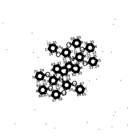 c1ccc(Oc2cc(Oc3ccccc3)cc(N(c3cc(Oc4ccccc4)cc(Oc4ccccc4)c3)c3cc4c5ccccc5c(N(c5cc(Oc6ccccc6)cc(Oc6ccccc6)c5)c5cc(Oc6ccccc6)cc(Oc6ccccc6)c5)cc4c4ccccc34)c2)cc1